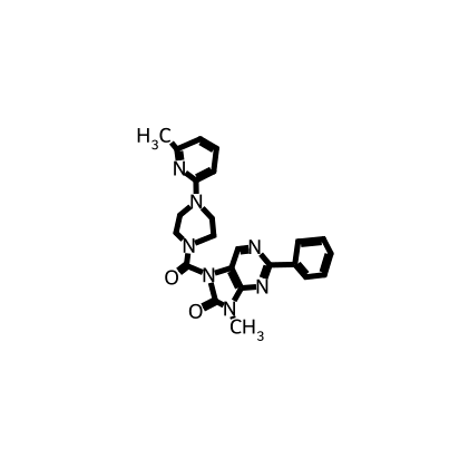 Cc1cccc(N2CCN(C(=O)n3c(=O)n(C)c4nc(-c5ccccc5)ncc43)CC2)n1